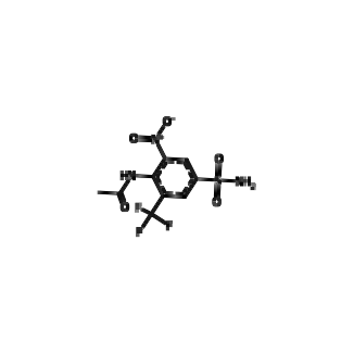 CC(=O)Nc1c([N+](=O)[O-])cc(S(N)(=O)=O)cc1C(F)(F)F